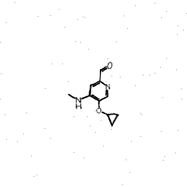 CNc1cc(C=O)ncc1OC1CC1